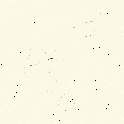 COc1ccc(CNc2csc([C@]34CO[C@@H](C)C[C@H]3[C@@H](C(F)(F)F)OC(NC(=O)c3ccccc3)=N4)n2)c(OC)c1